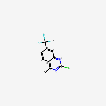 Cc1nc(Cl)nc2cc(C(F)(F)F)ccc12